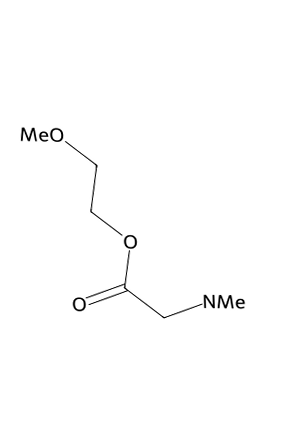 CNCC(=O)OCCOC